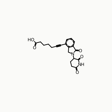 O=C(O)CCCCC#Cc1cccc2c1CN(C1CCC(=O)NC1=O)C2=O